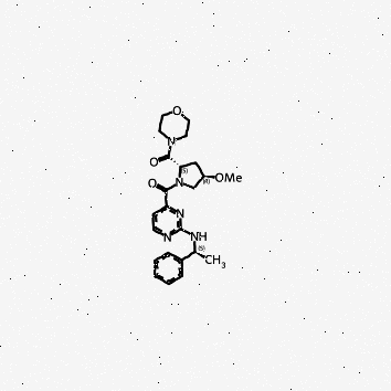 CO[C@@H]1C[C@@H](C(=O)N2CCOCC2)N(C(=O)c2ccnc(N[C@@H](C)c3ccccc3)n2)C1